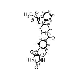 CS(=O)(=O)N1CC2(CCN(C(=O)c3ccc4c(c3)CCC3(C4)NC(=O)NC3=O)CC2)c2ccccc21